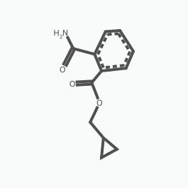 NC(=O)c1ccccc1C(=O)OCC1CC1